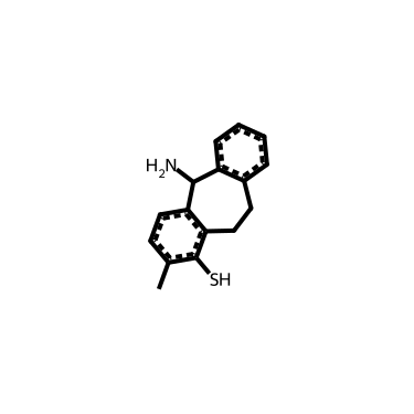 Cc1ccc2c(c1S)CCc1ccccc1C2N